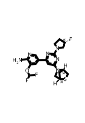 Nc1ncc(-c2cc(N3C[C@@H]4C[C@H]3CS4)nc(N3CC[C@H](F)C3)n2)cc1OC(F)F